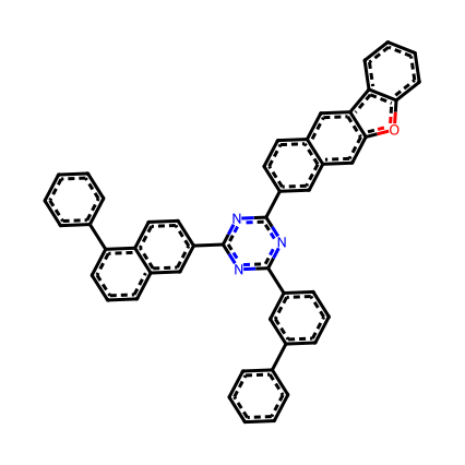 c1ccc(-c2cccc(-c3nc(-c4ccc5cc6c(cc5c4)oc4ccccc46)nc(-c4ccc5c(-c6ccccc6)cccc5c4)n3)c2)cc1